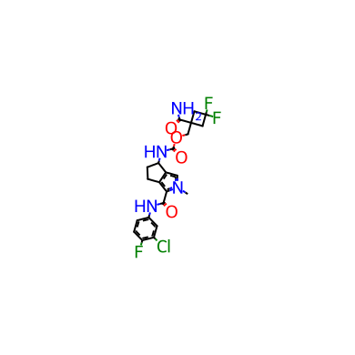 Cn1cc2c(c1C(=O)Nc1ccc(F)c(Cl)c1)CCC2NC(=O)OCC1(C(N)=O)CC(F)(F)C1